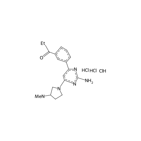 CCC(=O)c1cccc(-c2cc(N3CCC(NC)C3)nc(N)n2)c1.Cl.Cl.Cl